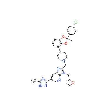 CC1(c2ccc(Cl)cc2)Oc2cccc(C3CCN(Cc4nc5cc(-c6n[nH]c(C(F)(F)F)n6)cnc5n4C[C@@H]4CCO4)CC3)c2O1